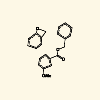 COc1cccc(C(=O)OCc2ccccc2)c1.c1ccc2c(c1)CO2